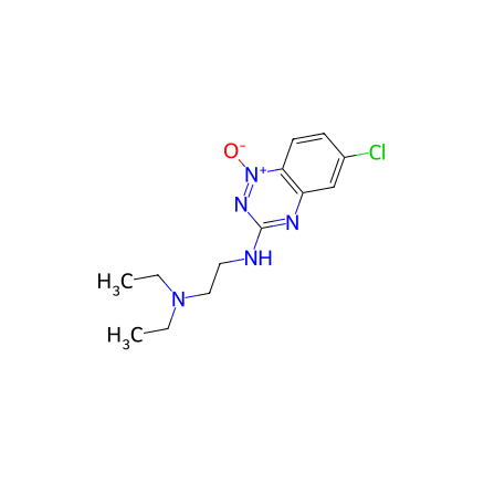 CCN(CC)CCNc1nc2cc(Cl)ccc2[n+]([O-])n1